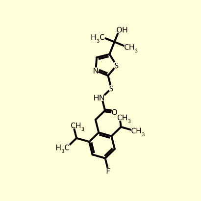 CC(C)c1cc(F)cc(C(C)C)c1CC(=O)NSc1ncc(C(C)(C)O)s1